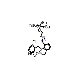 CCC[CH2][Sn]([CH2]CCC)([CH2]CCC)[O]CC/N=C/c1cccc2c1C(Cc1ccccc1Cl)N(C(=O)O)CC2